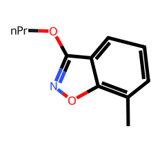 CCCOc1noc2c(C)cccc12